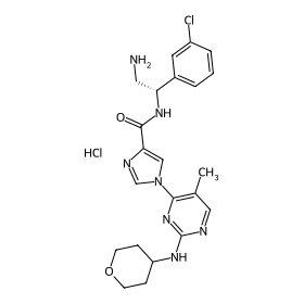 Cc1cnc(NC2CCOCC2)nc1-n1cnc(C(=O)N[C@H](CN)c2cccc(Cl)c2)c1.Cl